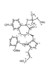 COc1cccc([C@H]2O[C@H](Cc3ncc(/C=C/C(=O)O)s3)C(=O)N(CC(C)(C)COC(C)=O)c3ccc(Cl)cc32)c1OC